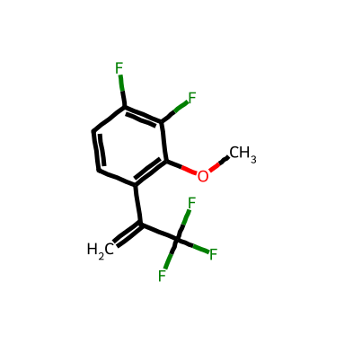 C=C(c1ccc(F)c(F)c1OC)C(F)(F)F